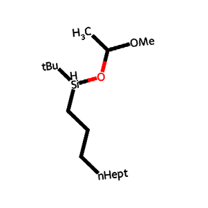 CCCCCCCCCC[SiH](OC(C)OC)C(C)(C)C